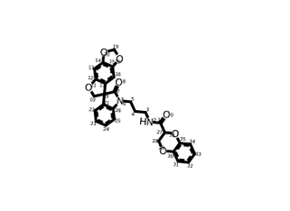 O=C(NCCCN1C(=O)C2(COc3cc4c(cc32)OCO4)c2ccccc21)C1COc2ccccc2O1